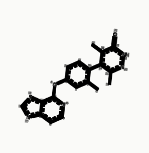 Cc1cc(Oc2nccc3ncsc23)ccc1-c1c(C)n[nH]c(=O)c1C